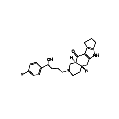 O=C1c2c([nH]c3c2CCC3)C[C@@H]2CCN(CCC[C@@H](O)c3ccc(F)cc3)C[C@@H]12